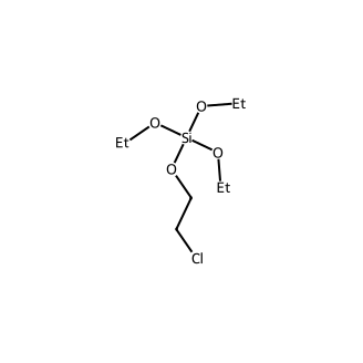 CCO[Si](OCC)(OCC)OCCCl